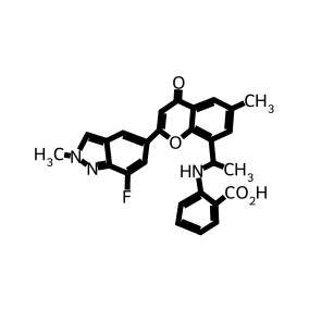 Cc1cc(C(C)Nc2ccccc2C(=O)O)c2oc(-c3cc(F)c4nn(C)cc4c3)cc(=O)c2c1